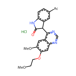 COCCOc1cc2ncnc(C3C(=O)Nc4ccc(C(C)=O)cc43)c2cc1OC.Cl